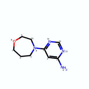 Nc1cc(N2CCCOCC2)ncn1